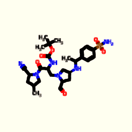 CC1CC(C#N)N(C(=O)C(CN2C[C@@H](NC(C)c3ccc(S(N)(=O)=O)cc3)CC2C=O)NC(=O)OC(C)(C)C)C1